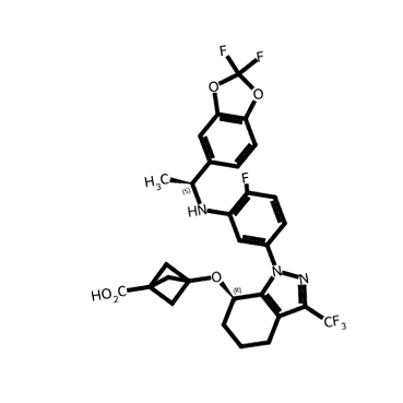 C[C@H](Nc1cc(-n2nc(C(F)(F)F)c3c2[C@H](OC24CC(C(=O)O)(C2)C4)CCC3)ccc1F)c1ccc2c(c1)OC(F)(F)O2